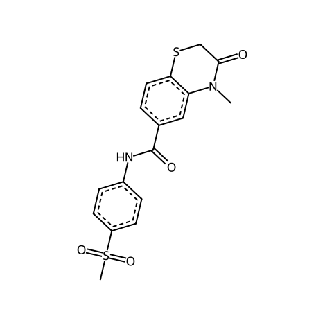 CN1C(=O)CSc2ccc(C(=O)Nc3ccc(S(C)(=O)=O)cc3)cc21